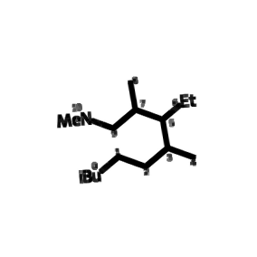 CCC(C)CCC(C)C(CC)C(C)CNC